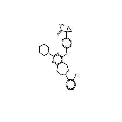 CNC(=O)C1(c2ccc(Nc3nc(N4CCCCC4)nc4c3CCN(c3ncccc3C(F)(F)F)CC4)cc2)CC1